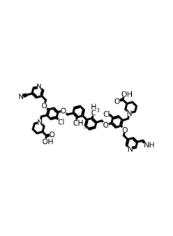 Cc1c(COc2cc(OCc3cncc(C#N)c3)c(CN3CCCC(C(=O)O)C3)cc2Cl)cccc1-c1cccc(COc2cc(OCc3cncc(C=N)c3)c(CN3CCCC(C(=O)O)C3)cc2Cl)c1C